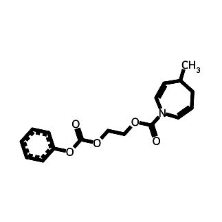 CC1C=CN(C(=O)OCCOC(=O)Oc2ccccc2)C=CC1